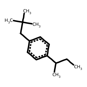 CCC(C)c1ccc([CH]C(C)(C)C)cc1